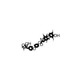 N[C@@H](Cc1cc(I)c(Oc2cc(I)c(O)c(I)c2)c(I)c1)C(=O)Oc1ccc(Oc2ccc(C[C@@](I)(C(=O)O)N(I)I)cc2)cc1